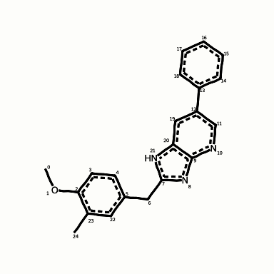 COc1ccc(Cc2nc3ncc(-c4ccccc4)cc3[nH]2)cc1C